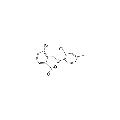 Cc1ccc(OCc2c(Br)cccc2[N+](=O)[O-])c(Cl)c1